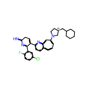 N=C1CC=C(c2ccc3c(n2)=CC(N2CC[C@@H](CC4CCCCC4)C2)=CC=C=3)C(c2cc(Cl)ccc2F)=N1